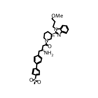 COCCCn1c([C@@H]2CCCN(C(=O)C[C@H](N)Cc3ccc(-c4ccc(S(C)(=O)=O)cc4)cc3)C2)nc2ccccc21